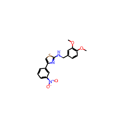 COc1ccc(CNc2nc(-c3cccc([N+](=O)[O-])c3)cs2)cc1OC